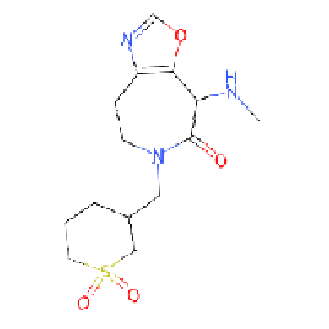 CNC1C(=O)N(CC2CCCS(=O)(=O)C2)CCc2ncoc21